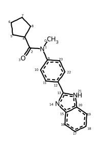 CN(C(=O)C1CCCC1)c1ccc(-c2nc3ccccc3[nH]2)cc1